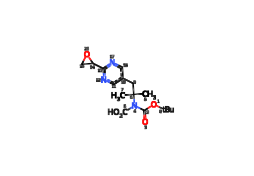 CC(C)(C)OC(=O)N(C(=O)O)C(C)(C)Cc1cnc(C2CO2)nc1